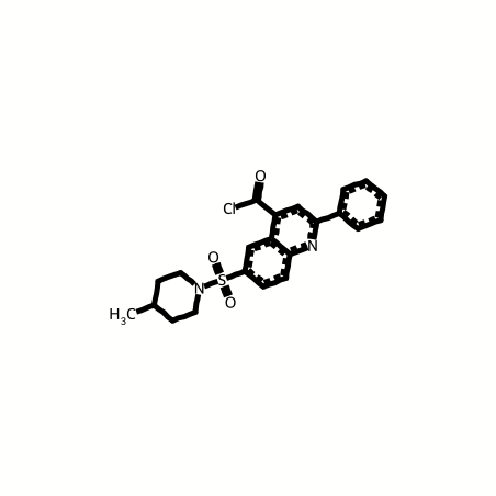 CC1CCN(S(=O)(=O)c2ccc3nc(-c4ccccc4)cc(C(=O)Cl)c3c2)CC1